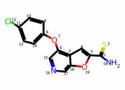 NC(=S)c1cc2c(Oc3ccc(Cl)cc3)cncc2o1